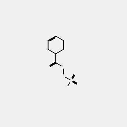 O=C(OOS(=O)(=O)C(F)(F)F)C1CC=CCC1